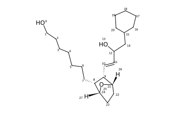 OCCCCCCC[C@@H]1[C@H](C=CC(O)CC2CCCCC2)[C@@H]2CC[C@H]1O2